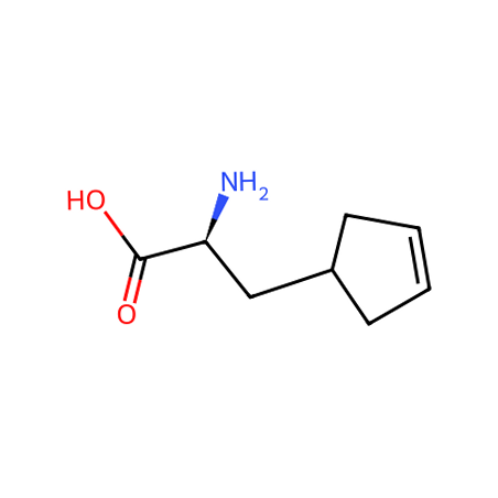 N[C@@H](CC1CC=CC1)C(=O)O